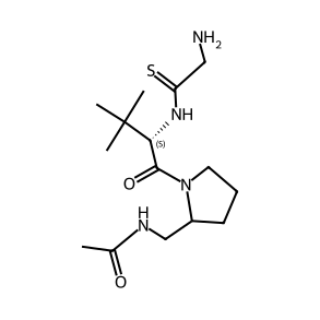 CC(=O)NCC1CCCN1C(=O)[C@@H](NC(=S)CN)C(C)(C)C